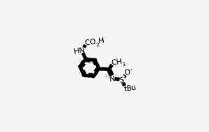 C/C(=N\[S+]([O-])C(C)(C)C)c1cccc(NC(=O)O)c1